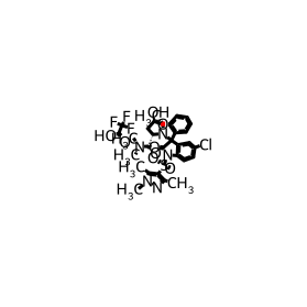 COc1ccccc1C1(N2C[C@H](O)C[C@H]2C(=O)N(C)C)C(=O)N(S(=O)(=O)c2c(C)nn(C)c2C)c2ccc(Cl)cc21.O=C(O)C(F)(F)F